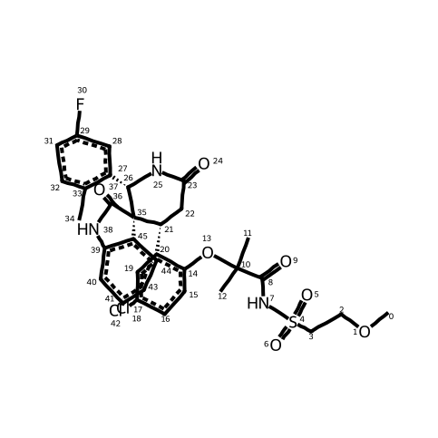 COCCS(=O)(=O)NC(=O)C(C)(C)Oc1ccc(Cl)cc1[C@H]1CC(=O)N[C@@H](c2cc(F)ccc2C)[C@]12C(=O)Nc1cc(Cl)ccc12